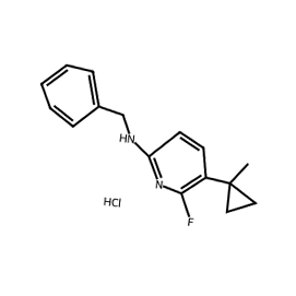 CC1(c2ccc(NCc3ccccc3)nc2F)CC1.Cl